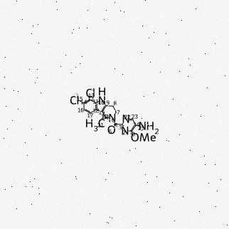 COc1nc(C(=O)N2CCc3[nH]c4c(Cl)c(Cl)ccc4c3[C@@H]2C)ncc1N